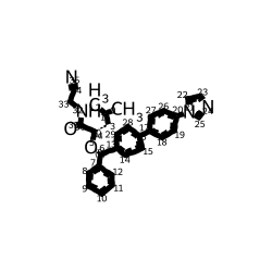 CC(C)C[C@H](O[C@H](c1ccccc1)c1ccc(-c2ccc(-n3ccnc3)cc2)cc1)C(=O)NCC#N